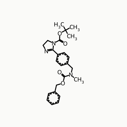 CN(Cc1ccc(C2=NCCN2C(=O)OC(C)(C)C)cc1)C(=O)OCc1ccccc1